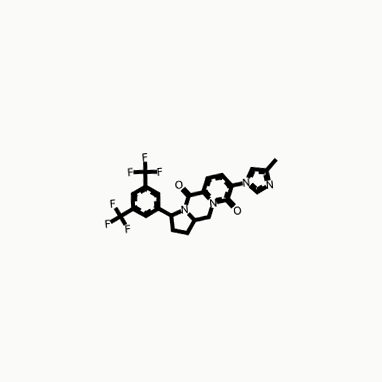 Cc1cn(-c2ccc3n(c2=O)CC2CCC(c4cc(C(F)(F)F)cc(C(F)(F)F)c4)N2C3=O)cn1